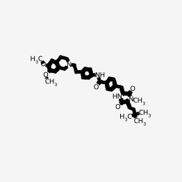 COc1cc2c(cc1OC)CN(CCc1ccc(NC(=O)c3ccc(C=c4[nH]c(=O)c(=CCC(C)(C)C)n(C)c4=O)cc3)cc1)CC2